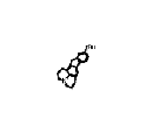 CC(C)(C)c1ccc2c(c1)Cc1c-2cc2c3c1CCCN3CCC2